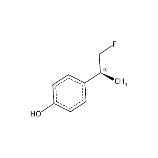 C[C@H](CF)c1ccc(O)cc1